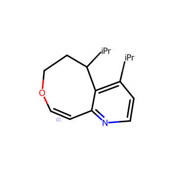 CC(C)c1ccnc2c1C(C(C)C)CCO/C=C\2